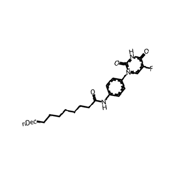 CCCCCCCCCCCCCCCCCC(=O)Nc1ccc(-n2cc(F)c(=O)[nH]c2=O)cc1